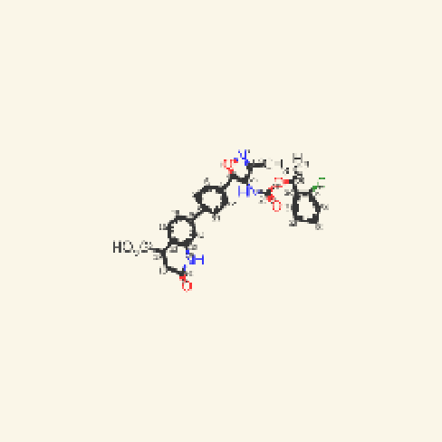 Cc1noc(-c2ccc(-c3ccc4c(c3)NC(=O)CC4C(=O)O)cc2)c1NC(=O)OC(C)c1ccccc1Cl